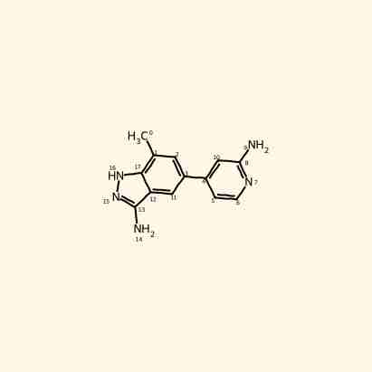 Cc1cc(-c2ccnc(N)c2)cc2c(N)n[nH]c12